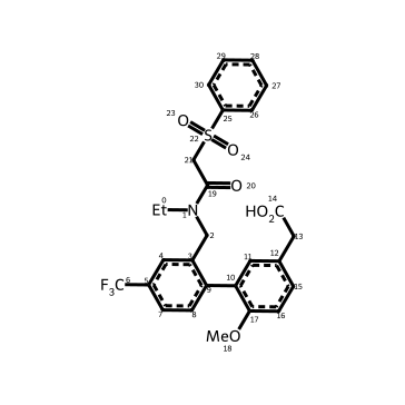 CCN(Cc1cc(C(F)(F)F)ccc1-c1cc(CC(=O)O)ccc1OC)C(=O)CS(=O)(=O)c1ccccc1